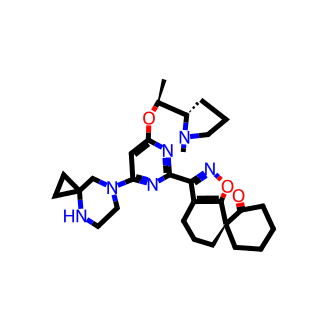 C[C@H](Oc1cc(N2CCNC3(CC3)C2)nc(-c2noc3c2CCC[C@@]32CCCCC2=O)n1)[C@@H]1CCCN1C